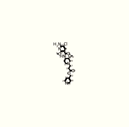 COc1nc(N)c(Cl)cc1C(=O)N[C@H]1CCN(CCC(=O)OCc2ccncc2)C[C@H]1OC